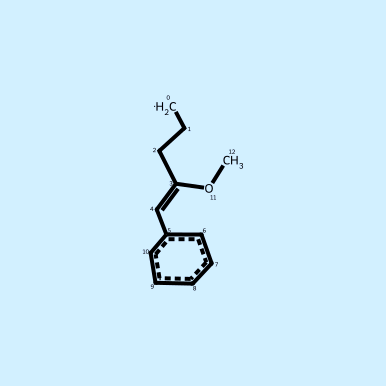 [CH2]CCC(=Cc1ccccc1)OC